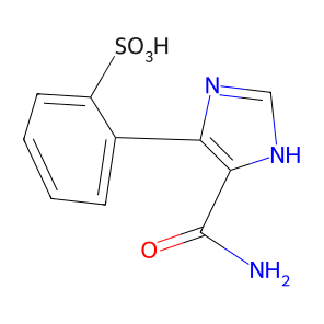 NC(=O)c1[nH]cnc1-c1ccccc1S(=O)(=O)O